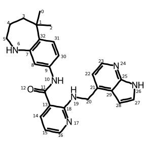 CC1(C)CCCNc2cc(NC(=O)c3cccnc3NCc3ccnc4[nH]ccc34)ccc21